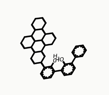 Cc1c(-c2cccc(-c3ccccc3)c2O)cccc1C1CCC2C(C1)C1CCCC3C4CCCCC4C4CCCC2C4C31